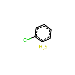 Clc1ccccc1.S